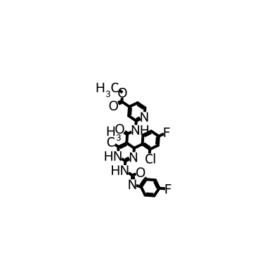 COC(=O)c1ccnc(NC(=O)C2=C(C)NC(Nc3nc4ccc(F)cc4o3)=NC2c2ccc(F)cc2Cl)c1